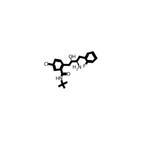 CC(C)(C)NC(=O)c1cc(Cl)ccc1C[C@H](O)[C@H](N)Cc1ccccc1F